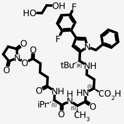 CC(C)[C@H](NC(=O)CCCC(=O)ON1C(=O)CCC1=O)C(=O)N[C@@H](C)C(=O)N[C@@H](CCN[C@@H](c1cc(-c2cc(F)ccc2F)cn1Cc1ccccc1)C(C)(C)C)C(=O)O.OCCO